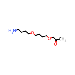 CC(=O)COCCCCOCCCCN